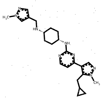 Cn1cc(CN[C@H]2CC[C@@H](Nc3nccc(-c4cnn(C)c4CC4CC4)n3)CC2)cn1